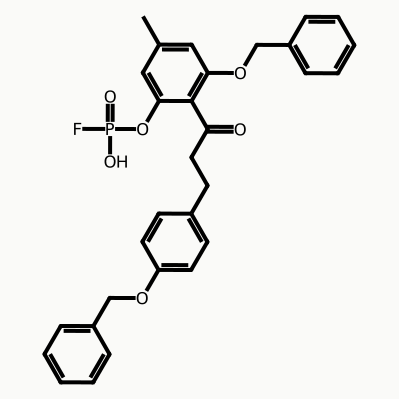 Cc1cc(OCc2ccccc2)c(C(=O)CCc2ccc(OCc3ccccc3)cc2)c(OP(=O)(O)F)c1